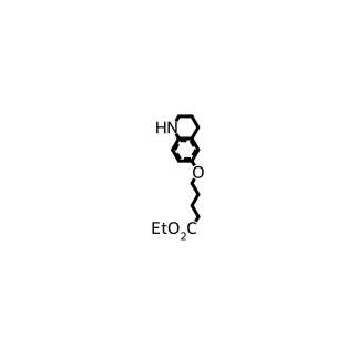 CCOC(=O)CCCCOc1ccc2c(c1)CCCN2